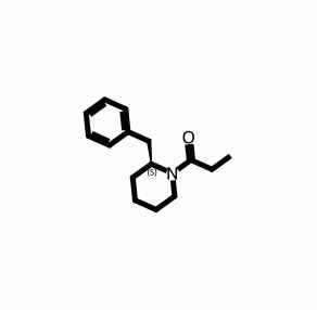 CCC(=O)N1CCCC[C@H]1Cc1ccccc1